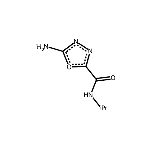 CC(C)NC(=O)c1nnc(N)o1